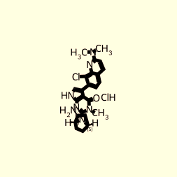 CN(C)c1ccc2ccc(-c3c[nH]c4nc(N5[C@H]6CC[C@@H]5[C@H](N)C6)n(C)c(=O)c34)c(Cl)c2n1.Cl